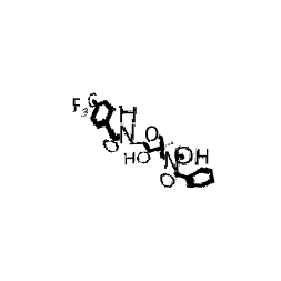 C[C@@]1(CN(O)C(=O)c2ccccc2)CO[C@H](CNC(=O)c2ccc(C(F)(F)F)cc2)[C@H]1O